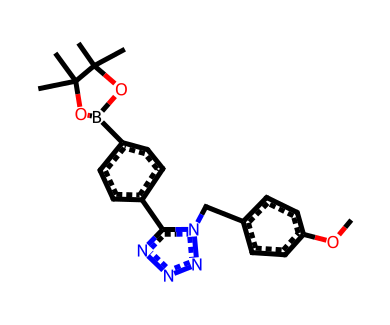 COc1ccc(Cn2nnnc2-c2ccc(B3OC(C)(C)C(C)(C)O3)cc2)cc1